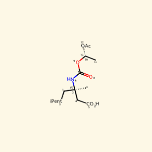 CCCC(C)C[C@](C)(CC(=O)O)NC(=O)O[C@@H](C)OC(C)=O